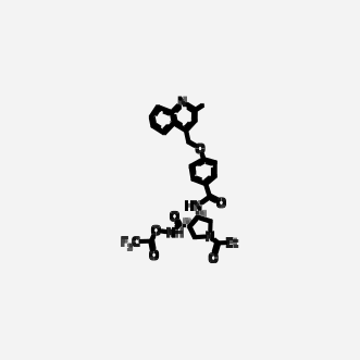 CCC(=O)N1C[C@H](C(=O)NOC(=O)C(F)(F)F)[C@H](NC(=O)c2ccc(OCc3cc(C)nc4ccccc34)cc2)C1